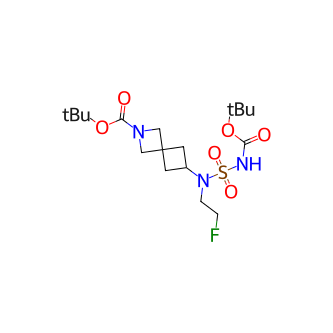 CC(C)(C)OC(=O)NS(=O)(=O)N(CCF)C1CC2(C1)CN(C(=O)OC(C)(C)C)C2